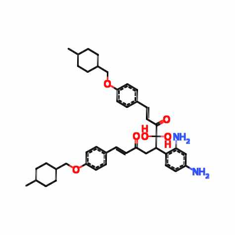 CC1CCC(COc2ccc(C=CC(=O)CC(c3ccc(N)cc3N)C(O)(O)C(=O)C=Cc3ccc(OCC4CCC(C)CC4)cc3)cc2)CC1